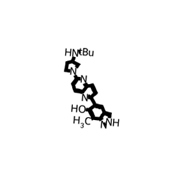 Cc1c(O)c(-c2ccc3nc(N4CCC(NC(C)(C)C)C4)ccc3n2)cc2c[nH]nc12